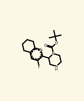 CC(C)(C)OC(=O)N1CCNCC1c1nc2c(cc1F)CCCC2